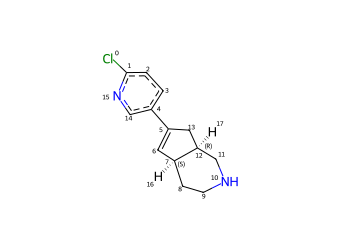 Clc1ccc(C2=C[C@@H]3CCNC[C@@H]3C2)cn1